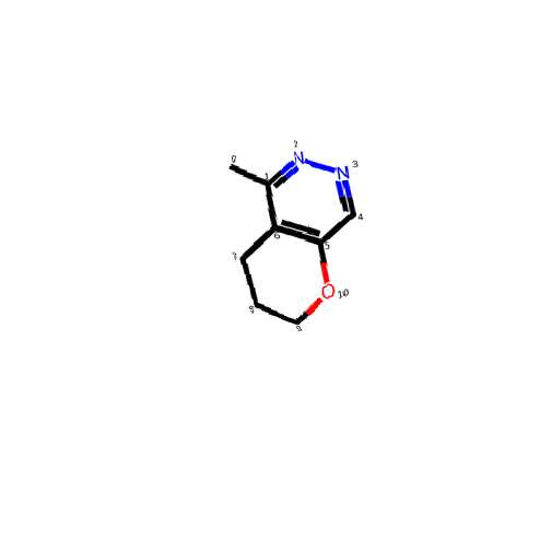 Cc1nncc2c1CCCO2